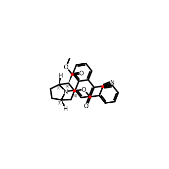 COC(=O)[C@H]1[C@@H](OC(=O)c2ccccc2)C[C@@H]2CC[C@H]1N2c1ccc(C#N)c2ccccc12